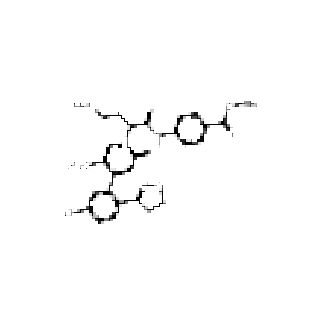 COCCC(C(=O)Nc1ccc(C(=O)OC(C)(C)C)cc1)n1cc(OC)c(-c2cc(Cl)ccc2C2=NOCC2)cc1=O